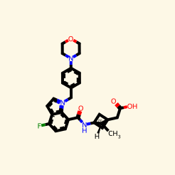 C[C@H]1C2(CC(=O)O)CC1(NC(=O)c1ccc(F)c3ccn(Cc4ccc(N5CCOCC5)cc4)c13)C2